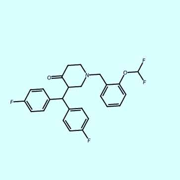 O=C1CCN(Cc2ccccc2OC(F)F)CC1C(c1ccc(F)cc1)c1ccc(F)cc1